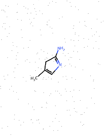 CC1=CN=C(N)C1